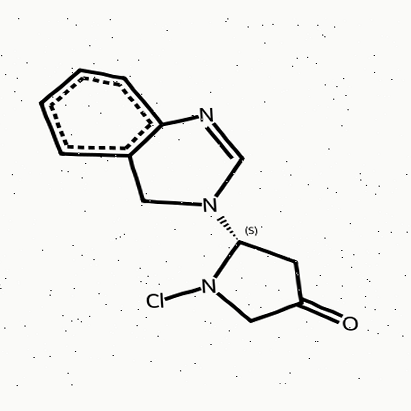 O=C1C[C@@H](N2C=Nc3ccccc3C2)N(Cl)C1